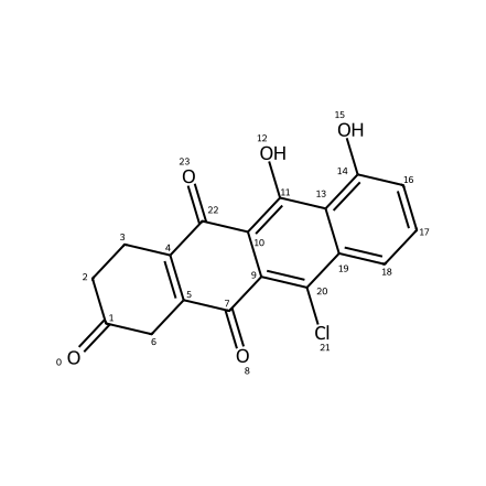 O=C1CCC2=C(C1)C(=O)c1c(c(O)c3c(O)cccc3c1Cl)C2=O